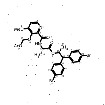 COc1ccnc(C(=O)N[C@@H](C)C(=O)O[C@@H](C)C(c2ccc(Br)cc2)c2ccc(Br)cc2)c1OCOC(C)=O